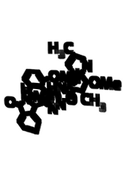 COc1cccc(OC)c1-n1c(NS(=O)(=O)[C@@H](C)[C@H](OC)c2ncc(C)cn2)nnc1[C@@H]1NC(=O)c2ccccc21